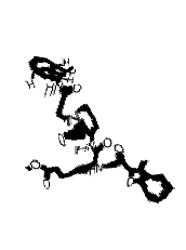 COC(=O)/C=C/CCC(NC(=O)c1oc2ccccc2c1C)C(=O)Nc1cccn(CC(=O)N[C@@H]2C[C@@H]3C[C@H]([C@H]2C)C3(C)C)c1=O